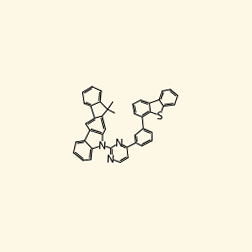 CC1(C)c2ccccc2-c2cc3c4ccccc4n(-c4nccc(-c5cccc(-c6cccc7c6sc6ccccc67)c5)n4)c3cc21